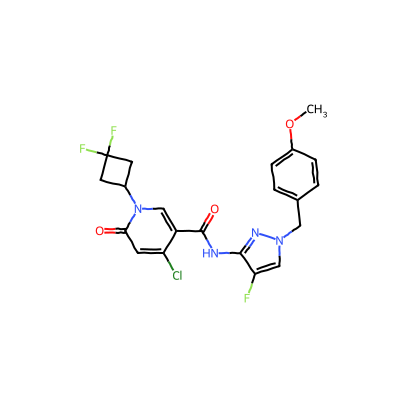 COc1ccc(Cn2cc(F)c(NC(=O)c3cn(C4CC(F)(F)C4)c(=O)cc3Cl)n2)cc1